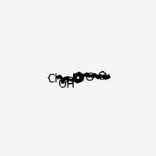 C=COCCOCc1ccc(OCC(O)CCl)cc1